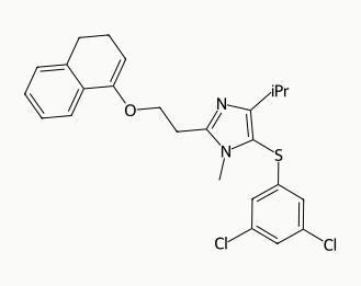 CC(C)c1nc(CCOC2=CCCc3ccccc32)n(C)c1Sc1cc(Cl)cc(Cl)c1